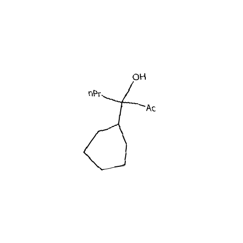 CCCC(O)(C(C)=O)C1CCCCC1